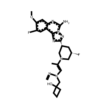 C=NN(/C=C(\C)N1C[C@@H](F)C[C@@H](c2nc3c4cc(F)c(OC)cc4nc(N)n3n2)C1)CC1(O)CCC1